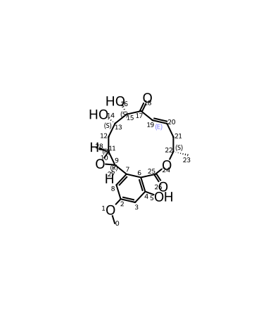 COc1cc(O)c2c(c1)[C@H]1O[C@@H]1C[C@H](O)[C@H](O)C(=O)/C=C/C[C@H](C)OC2=O